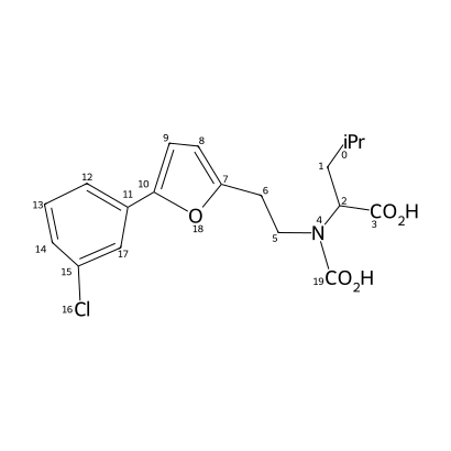 CC(C)CC(C(=O)O)N(CCc1ccc(-c2cccc(Cl)c2)o1)C(=O)O